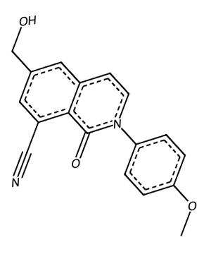 COc1ccc(-n2ccc3cc(CO)cc(C#N)c3c2=O)cc1